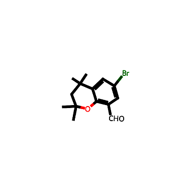 CC1(C)CC(C)(C)c2cc(Br)cc(C=O)c2O1